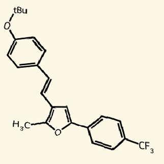 Cc1oc(-c2ccc(C(F)(F)F)cc2)cc1/C=C/c1ccc(OC(C)(C)C)cc1